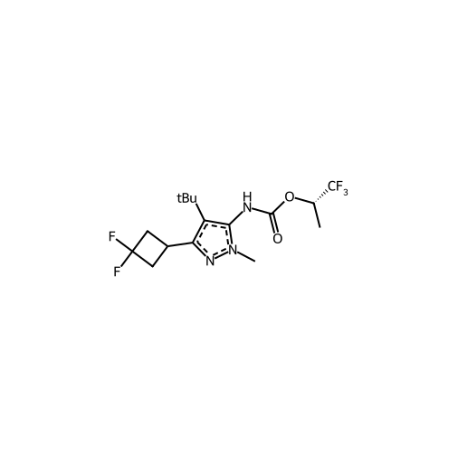 C[C@H](OC(=O)Nc1c(C(C)(C)C)c(C2CC(F)(F)C2)nn1C)C(F)(F)F